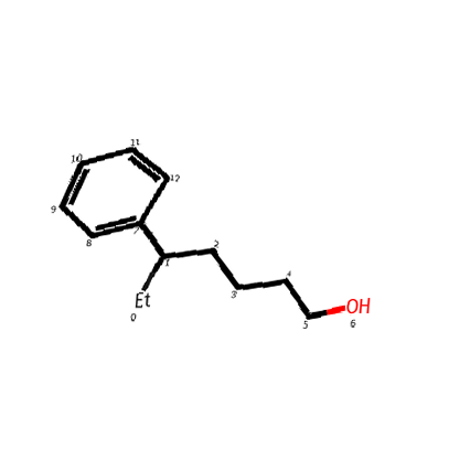 CCC(CCCCO)c1ccccc1